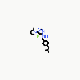 C=C(C)Cc1ccc(CNc2ncnc(N3CCC[C@H]3C)c2F)cc1